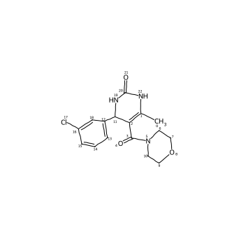 CC1=C(C(=O)N2CCOCC2)C(c2cccc(Cl)c2)NC(=O)N1